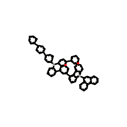 c1ccc(-c2ccc(-c3ccc(N(c4ccc(-c5ccccc5)cc4)c4ccccc4-c4cccc(-c5cccc6c5c5ccccc5n6-c5cc6ccccc6c6ccccc56)c4)cc3)cc2)cc1